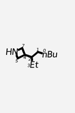 CCCCCC(CC)C1CNC1